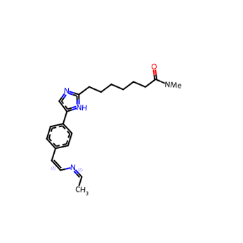 C/C=N\C=C/c1ccc(-c2cnc(CCCCCCC(=O)NC)[nH]2)cc1